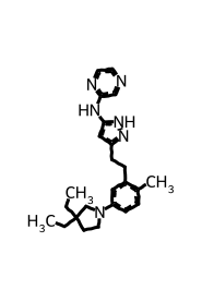 CCC1(CC)CCN(c2ccc(C)c(CCc3cc(Nc4cnccn4)[nH]n3)c2)C1